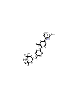 CN/C=C(\C=N)c1ccc(-c2ccc(CC3CC(C)(C)NC(C)(C)C3)nn2)c(C)c1